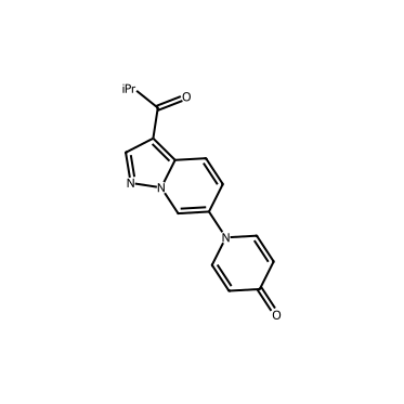 CC(C)C(=O)c1cnn2cc(-n3ccc(=O)cc3)ccc12